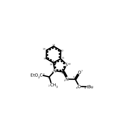 CCOC(=O)C(C)n1/c(=N/C(=O)OC(C)(C)C)sc2ccccc21